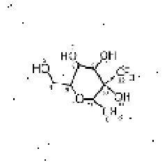 CC1OC(CO)C(O)C(O)C1(O)C(F)(F)F